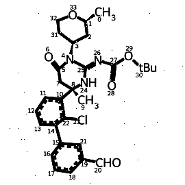 C[C@H]1C[C@@H](N2C(=O)C[C@@](C)(c3cccc(-c4cccc(C=O)c4)c3Cl)N/C2=N\C(=O)OC(C)(C)C)CCO1